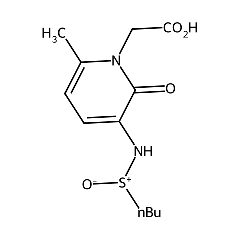 CCCC[S+]([O-])Nc1ccc(C)n(CC(=O)O)c1=O